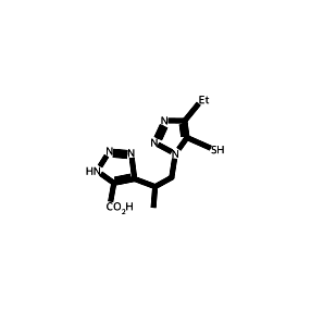 CCc1nnn(CC(C)c2nn[nH]c2C(=O)O)c1S